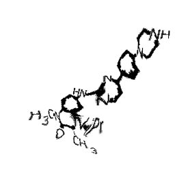 CC(C)N1c2cc(Nc3nccc(-c4ccc(N5CCNCC5)cc4)n3)ccc2N(C)C(=O)[C@H]1C